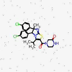 CC(C)C1=C(C(=O)N2CCNC(=O)C2)SC2=NC(C)(c3ccc(Cl)cc3)C(c3ccc(Cl)cc3)N21